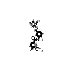 Cc1ccc(C(=O)Nc2cccc(CSc3nncn3C)c2)nc1C(F)(F)F